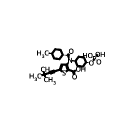 CC(C)(C)C#Cc1cc(N(C(=O)[C@H]2CC[C@H](C)CC2)[C@H]2CC[C@H](OP(=O)(O)O)CC2)c(C(=O)O)s1